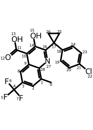 Cc1cc(C(F)(F)F)cc2c(C(=O)O)c(O)c(C3(c4ccc(Cl)cc4)CC3)nc12